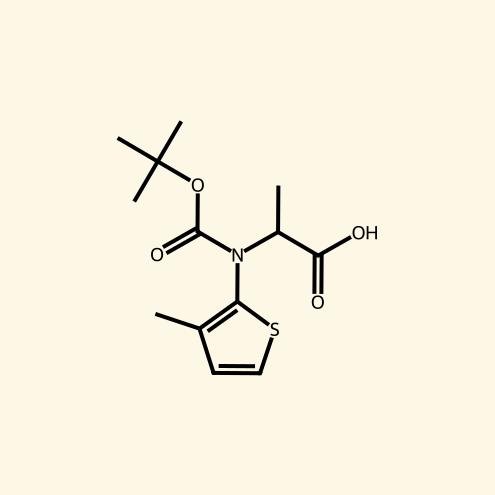 Cc1ccsc1N(C(=O)OC(C)(C)C)C(C)C(=O)O